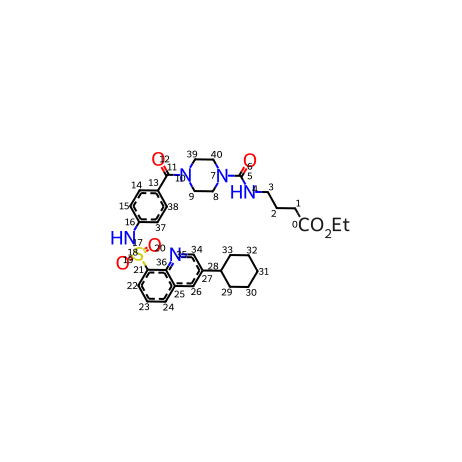 CCOC(=O)CCCNC(=O)N1CCN(C(=O)c2ccc(NS(=O)(=O)c3cccc4cc(C5CCCCC5)cnc34)cc2)CC1